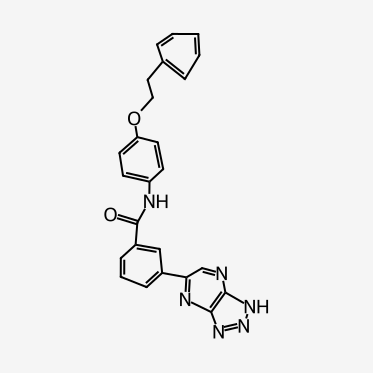 O=C(Nc1ccc(OCCc2ccccc2)cc1)c1cccc(-c2cnc3[nH]nnc3n2)c1